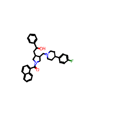 O=C(c1cccc2ccccc12)N1CC(CC(O)c2ccccc2)C(CN2CCC(c3ccc(F)cc3)CC2)C1